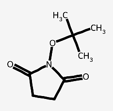 CC(C)(C)ON1C(=O)CCC1=O